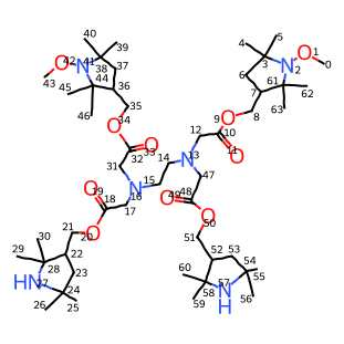 CON1C(C)(C)CC(COC(=O)CN(CCN(CC(=O)OCC2CC(C)(C)NC2(C)C)CC(=O)OCC2CC(C)(C)N(OC)C2(C)C)CC(=O)OCC2CC(C)(C)NC2(C)C)C1(C)C